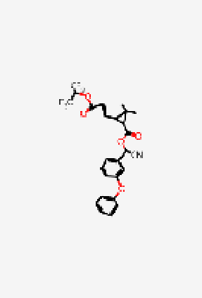 CC1(C)C(/C=C/C(=O)OC(C(F)(F)F)C(F)(F)F)C1C(=O)OC(C#N)c1cccc(Oc2ccccc2)c1